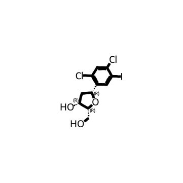 OC[C@H]1O[C@@H](c2cc(I)c(Cl)cc2Cl)C[C@H]1O